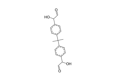 CC(C)(c1ccc(C(O)C=O)cc1)c1ccc(C(O)C=O)cc1